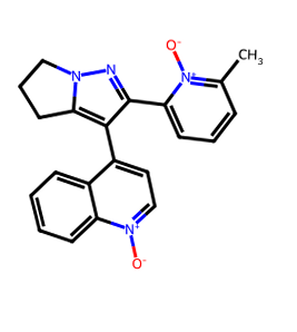 Cc1cccc(-c2nn3c(c2-c2cc[n+]([O-])c4ccccc24)CCC3)[n+]1[O-]